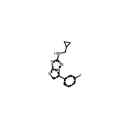 Fc1cccc(-c2cnc3sc(NCC4CC4)nn23)c1